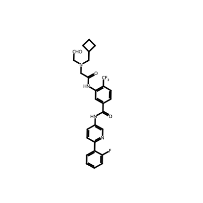 O=CCN(CC(=O)Nc1cc(C(=O)Nc2ccc(-c3ccccc3F)nc2)ccc1C(F)(F)F)CC1CCC1